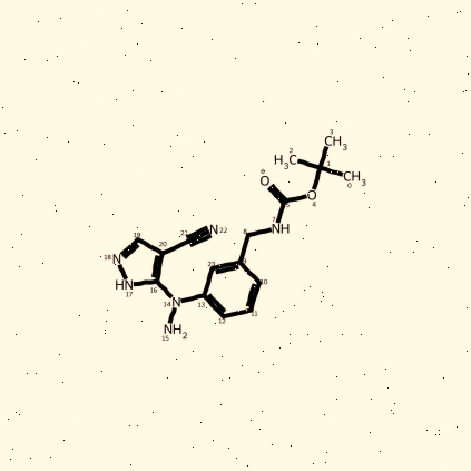 CC(C)(C)OC(=O)NCc1cccc(N(N)c2[nH]ncc2C#N)c1